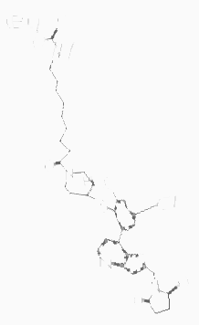 Cc1cc(Cl)cc(-c2ccnc3cc(CN4C(=O)CCC4=O)sc23)c1OC1CCN(C(=O)CCCCCCCCNC(=O)OC(C)(C)C)CC1